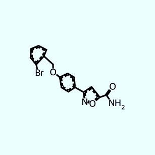 NC(=O)c1cc(-c2ccc(OCc3ccccc3Br)cc2)no1